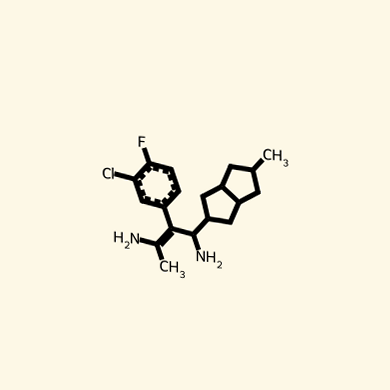 C/C(N)=C(/c1ccc(F)c(Cl)c1)C(N)C1CC2CC(C)CC2C1